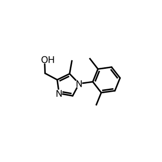 Cc1cccc(C)c1-n1cnc(CO)c1C